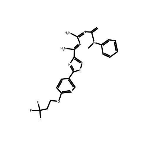 C=C(/N=C(N)\N=C(/N)c1noc(-c2ccc(OCCC(F)(F)F)nc2)n1)N(C)c1ccccc1